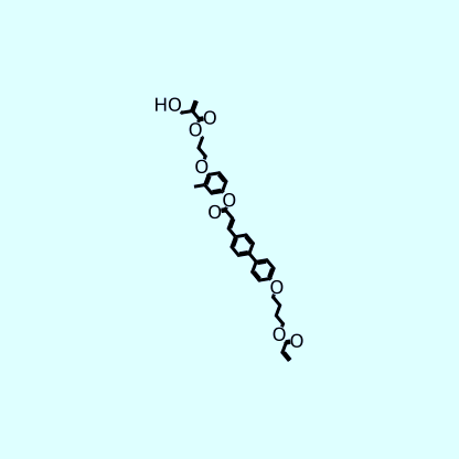 C=CC(=O)OCCCCOc1ccc(-c2ccc(/C=C/C(=O)Oc3ccc(OCCCOC(=O)C(=C)CO)c(C)c3)cc2)cc1